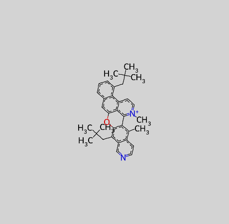 Cc1c2c(c(CC(C)(C)C)c3cnccc13)Oc1cc3cccc(CC(C)(C)C)c3c3cc[n+](C)c-2c13